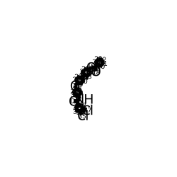 O=C(Nc1ccc(Oc2ccc(N3CCC(OC(=O)c4ccccc4)CC3)cc2)cc1)c1ccc(Cl)c(Cl)c1